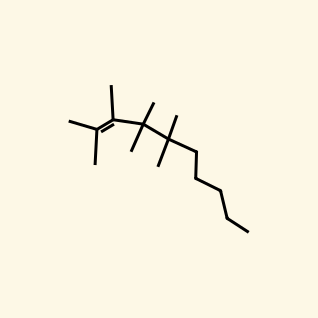 CCCCCC(C)(C)C(C)(C)C(C)=C(C)C